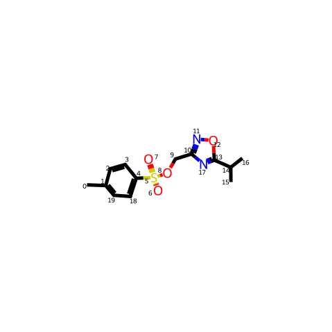 Cc1ccc(S(=O)(=O)OCc2noc(C(C)C)n2)cc1